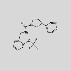 O=C(NCc1ccccc1OC(F)(F)F)N1CCC(c2cccnc2)C1